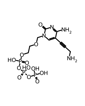 NCC#Cc1cn(COCCOP(=O)(O)OP(=O)(O)OP(=O)(O)O)c(=O)nc1N